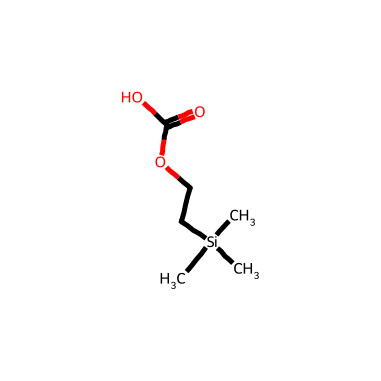 C[Si](C)(C)CCOC(=O)O